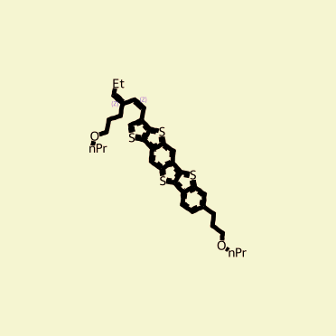 CC/C=C(\C=C/c1csc2c1sc1cc3c(cc12)sc1c2ccc(CCCOCCC)cc2sc31)CCCOCCC